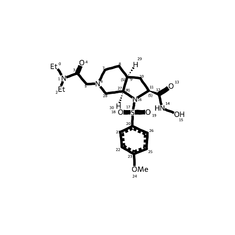 CCN(CC)C(=O)CN1CC[C@H]2C[C@@H](C(=O)NO)N(S(=O)(=O)c3ccc(OC)cc3)[C@H]2C1